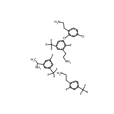 CC(N)c1cc(F)cc(C(F)(F)F)c1.NCCc1cc(C(F)(F)F)ccc1F.NCCc1ccc(C(F)(F)F)cc1F.NCCc1ccc(Cl)cc1Cl